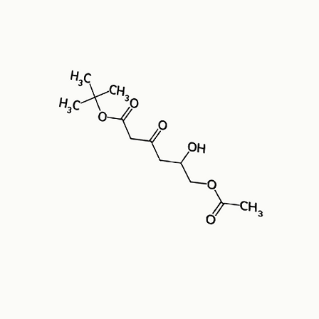 CC(=O)OCC(O)CC(=O)CC(=O)OC(C)(C)C